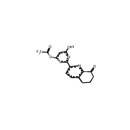 O=C1CCCc2ccc(-c3nc(O)cc(OC(=O)C(F)(F)F)n3)nc21